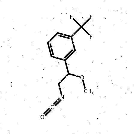 COC(CN=C=O)c1cccc(C(F)(F)F)c1